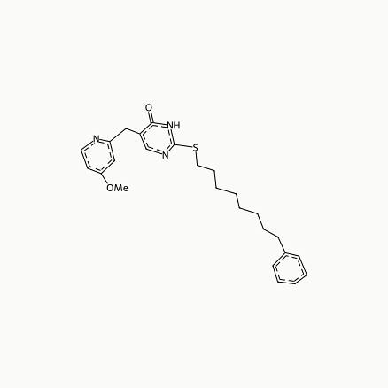 COc1ccnc(Cc2cnc(SCCCCCCCCc3ccccc3)[nH]c2=O)c1